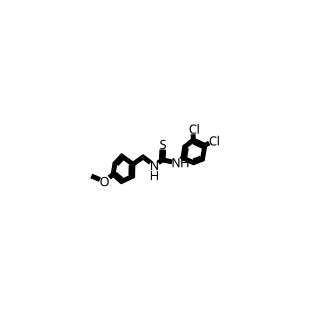 COc1ccc(CNC(=S)Nc2ccc(Cl)c(Cl)c2)cc1